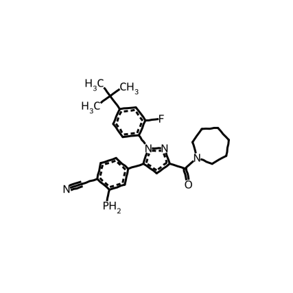 CC(C)(C)c1ccc(-n2nc(C(=O)N3CCCCCC3)cc2-c2ccc(C#N)c(P)c2)c(F)c1